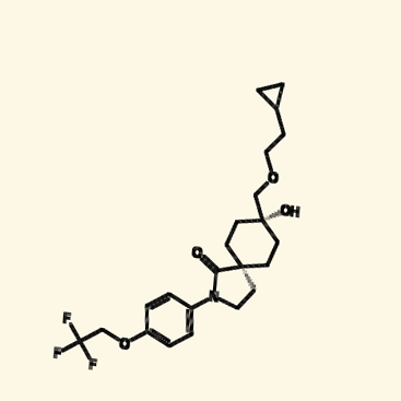 O=C1N(c2ccc(OCC(F)(F)F)cc2)CC[C@]12CC[C@](O)(COCCC1CC1)CC2